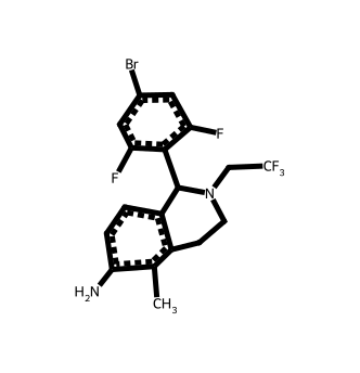 Cc1c(N)ccc2c1CCN(CC(F)(F)F)C2c1c(F)cc(Br)cc1F